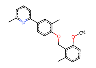 Cc1cccc(-c2ccc(OCc3c(C)cccc3OC#N)c(C)c2)n1